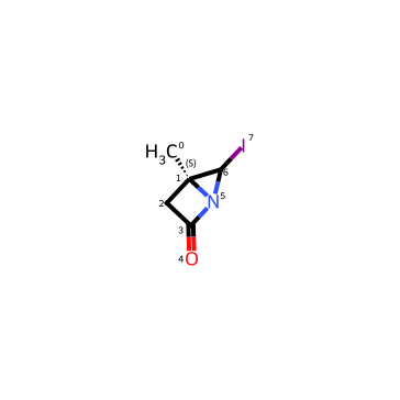 C[C@@]12CC(=O)N1C2I